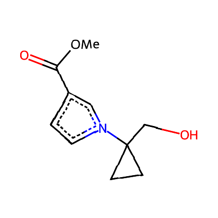 COC(=O)c1ccn(C2(CO)CC2)c1